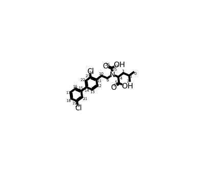 CC(C)CC(C(=O)O)N(CCc1ccc(-c2cccc(Cl)c2)cc1Cl)C(=O)O